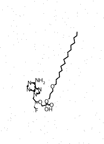 CCCCCCCCCCCCCCCCOCCCOP(=O)(O)CO[C@H](CF)Cn1cnc2c(N)ncnc21